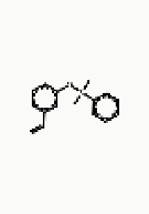 C=Cc1cccc(O[Si](C)(C)c2ccccc2)c1